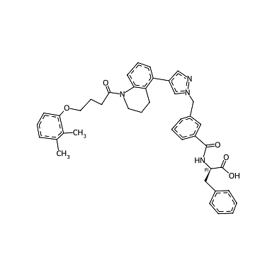 Cc1cccc(OCCCC(=O)N2CCCc3c(-c4cnn(Cc5cccc(C(=O)N[C@H](Cc6ccccc6)C(=O)O)c5)c4)cccc32)c1C